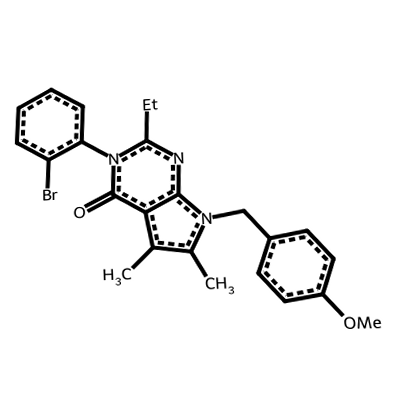 CCc1nc2c(c(C)c(C)n2Cc2ccc(OC)cc2)c(=O)n1-c1ccccc1Br